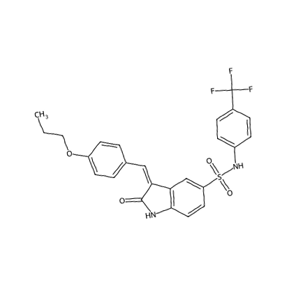 CCCOc1ccc(C=C2C(=O)Nc3ccc(S(=O)(=O)Nc4ccc(C(F)(F)F)cc4)cc32)cc1